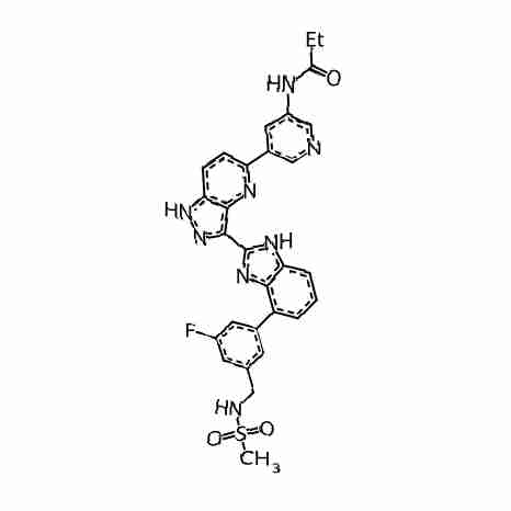 CCC(=O)Nc1cncc(-c2ccc3[nH]nc(-c4nc5c(-c6cc(F)cc(CNS(C)(=O)=O)c6)cccc5[nH]4)c3n2)c1